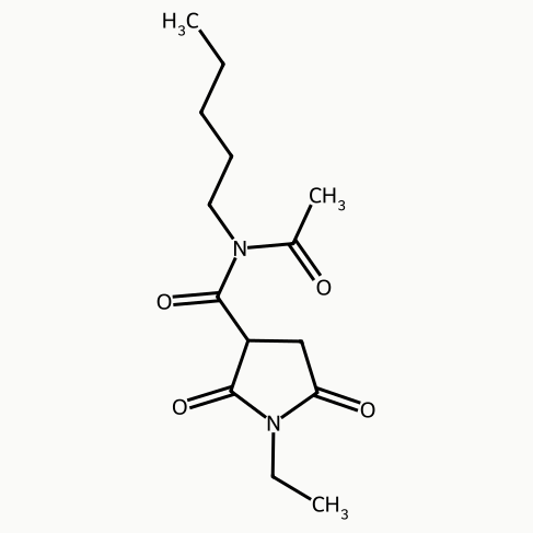 CCCCCN(C(C)=O)C(=O)C1CC(=O)N(CC)C1=O